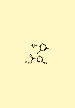 COC(=O)c1cc(Br)cn1Cc1cc(C)ccc1N